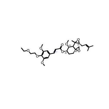 CCOCCOc1c(OC)cc(/C=C/C(=O)O[C@@H]2CC[C@]3(CO3)C(C3(C)O[C@H]3CC=C(C)C)[C@@H]2OC)cc1OC